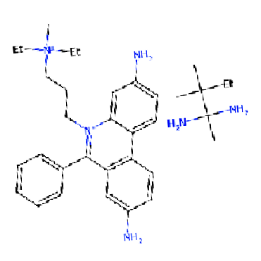 CCC(C)(C)C(C)(N)N.CC[N+](C)(CC)CCC[n+]1c(-c2ccccc2)c2cc(N)ccc2c2ccc(N)cc21